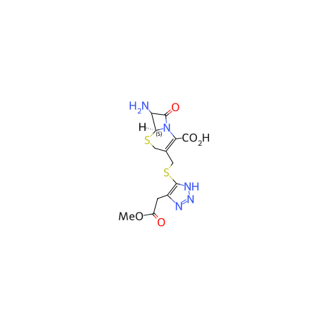 COC(=O)Cc1nn[nH]c1SCC1=C(C(=O)O)N2C(=O)C(N)[C@@H]2SC1